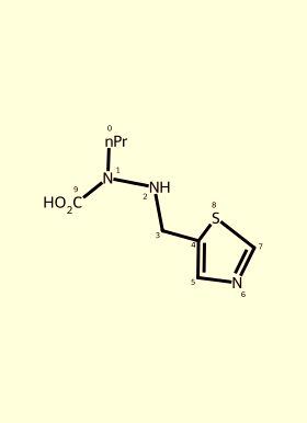 CCCN(NCc1cncs1)C(=O)O